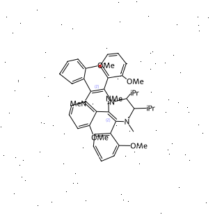 CN/C(=C(/c1ccccc1OC)N(C)C(C(C)C)C(C(C)C)N(C)/C(=C(\NC)c1ccccc1OC)c1ccccc1OC)c1ccccc1OC